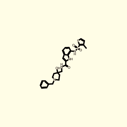 Cc1ccsc1S(=O)(=O)Nc1cccc2cc(C(=O)NCC3(O)CCN(Cc4ccccc4)CC3)[nH]c12